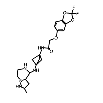 CC1CC2C(NC34CC(NC(=O)COc5ccc6c(c5)OC(F)(F)O6)(C3)C4)NCCN2N1